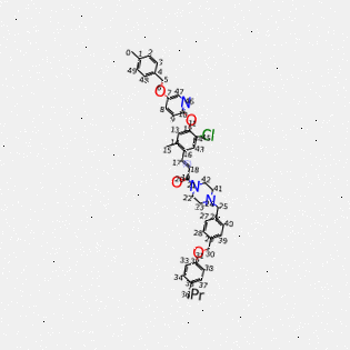 Cc1ccc(COc2ccc(Oc3cc(C)c(/C=C/C(=O)N4CCN(Cc5ccc(COc6ccc(C(C)C)cc6)cc5)CC4)cc3Cl)nc2)cc1